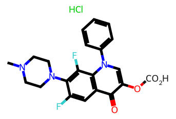 CN1CCN(c2c(F)cc3c(=O)c(OC(=O)O)cn(-c4ccccc4)c3c2F)CC1.Cl